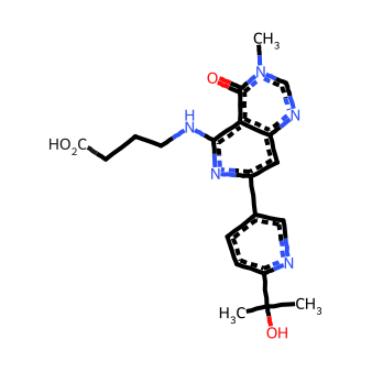 Cn1cnc2cc(-c3ccc(C(C)(C)O)nc3)nc(NCCCC(=O)O)c2c1=O